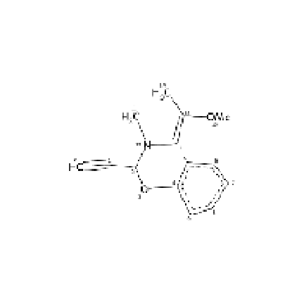 C#CC(Oc1ccccc1)N(C)/C=C(\C)OC